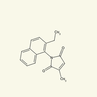 CCc1ccc2ccccc2c1N1C(=O)C=C(C)C1=O